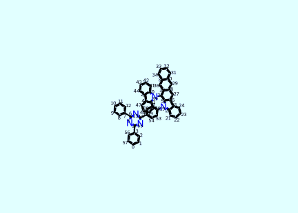 c1ccc(-c2nc(-c3ccccc3)nc(-c3ccc(-n4c5ccccc5c5cc6cc7ccccc7cc6c(-n6c7ccccc7c7ccccc76)c54)cc3)n2)cc1